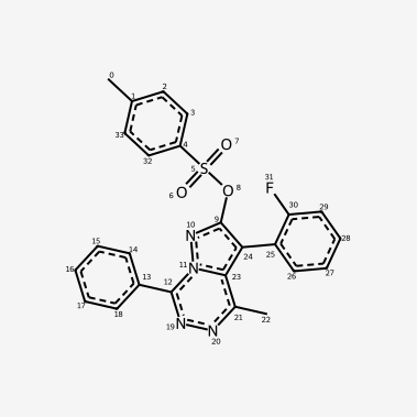 Cc1ccc(S(=O)(=O)Oc2nn3c(-c4ccccc4)nnc(C)c3c2-c2ccccc2F)cc1